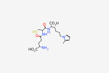 Cc1cccn1CCCCC(NC(=O)C(CS)NC(=O)CCC(N)C(=O)O)C(=O)O